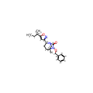 CC[C@@H](C)c1cc([C@@H]2CC[C@@H]3CN2C(=O)N3OCc2ccccc2)no1